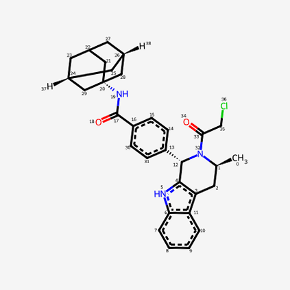 C[C@H]1Cc2c([nH]c3ccccc23)[C@H](c2ccc(C(=O)N[C@]34CC5C[C@H](C[C@H](C5)C3)C4)cc2)N1C(=O)CCl